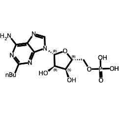 CCCCc1nc(N)c2ncn([C@@H]3O[C@H](COP(=O)(O)O)[C@@H](O)[C@H]3O)c2n1